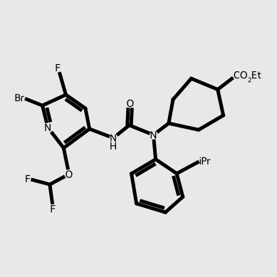 CCOC(=O)C1CCC(N(C(=O)Nc2cc(F)c(Br)nc2OC(F)F)c2ccccc2C(C)C)CC1